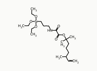 C=CC(C)CCCC(C)(C)OC(=O)C(=O)NCCC[Si](OCC)(OCC)OCC